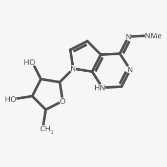 CNN=c1nc[nH]c2c1ccn2C1OC(C)C(O)C1O